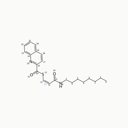 CCCCCCCCNC(=O)/C=C\SC(=O)c1ccc2ccccc2n1